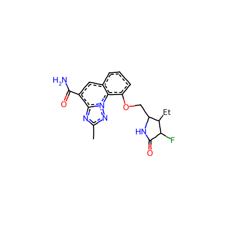 CCC1C(COc2cccc3cc(C(N)=O)c4nc(C)nn4c23)NC(=O)C1F